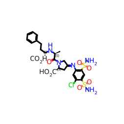 C[C@H](N[C@@H](CCc1ccccc1)C(=O)O)C(=O)N1CC(=Nc2cc(Cl)c(S(N)(=O)=O)cc2S(N)(=O)=O)C[C@H]1C(=O)O